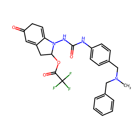 CN(Cc1ccccc1)Cc1ccc(NC(=O)NN2C3=CCC(=O)C=C3CC2OC(=O)C(F)(F)F)cc1